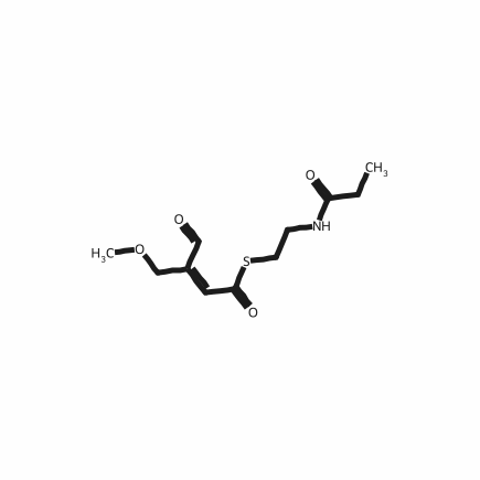 CCC(=O)NCCSC(=O)/C=C(\C=O)COC